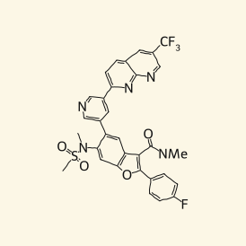 CNC(=O)c1c(-c2ccc(F)cc2)oc2cc(N(C)S(C)(=O)=O)c(-c3cncc(-c4ccc5cc(C(F)(F)F)cnc5n4)c3)cc12